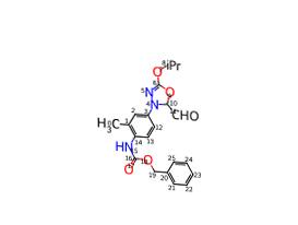 Cc1cc(N2N=C(OC(C)C)OC2C=O)ccc1NC(=O)OCc1ccccc1